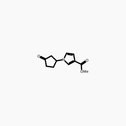 COC(=O)c1ccn(C2CCC(=O)C2)c1